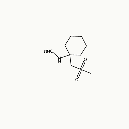 CS(=O)(=O)CC1(NC=O)CCCCC1